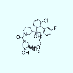 COCCCC[C@@](O)(c1cccc(Cl)c1-c1cccc(F)c1)C1CCCN(C(=O)[C@H]2C[C@@H](N)[C@@H](O)C2)C1